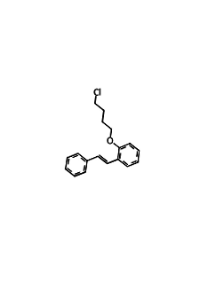 ClCCCCOc1ccccc1C=Cc1ccccc1